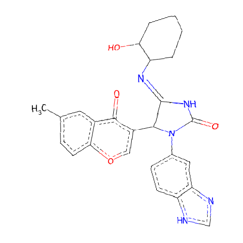 Cc1ccc2occ(C3C(=NC4CCCCC4O)NC(=O)N3c3ccc4[nH]cnc4c3)c(=O)c2c1